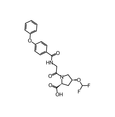 O=C(NCC(=O)N1C[C@@H](OC(F)F)C[C@H]1C(=O)O)c1ccc(Oc2ccccc2)cc1